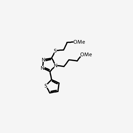 COCCCn1c(SCCOC)nnc1-c1cccs1